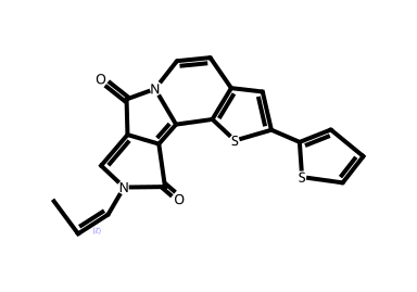 C/C=C\N1C=C2C(=O)N3C=Cc4cc(-c5cccs5)sc4C3=C2C1=O